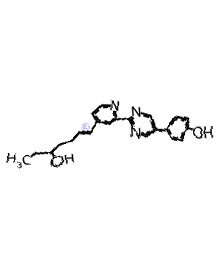 CCC(O)CC/C=C/c1ccnc(-c2ncc(-c3ccc(O)cc3)cn2)c1